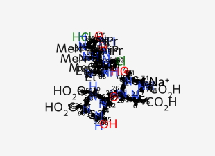 CC1=C(CCC(=O)O)c2cc3[nH]c(cc4nc(cc5[nH]c(cc1n2)c(C)c5C(C)OC(C)C1=C(C)c2cc5[nH]c(cc6nc(cc7[nH]c(cc1n2)c(C)c7CCC(=O)O)C(CCC(=O)O)=C6C)c(C)c5C(C)O)C(C)=C4C(C)O)c(C)c3CCC(=O)O.CCN(CC)CCCC(C)Nc1c2ccc(Cl)cc2nc2ccc(OC)cc12.CNNCc1ccc(C(=O)NC(C)C)cc1.CNNCc1ccc(C(=O)NC(C)C)cc1.Cl.[Na+]